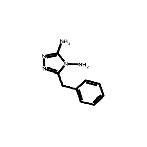 Nc1nnc(Cc2ccccc2)n1N